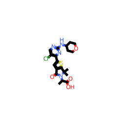 CC(C(=O)O)N1C(=O)c2cc(-c3nc(NC4CCOCC4)ncc3Cl)sc2C1(C)C